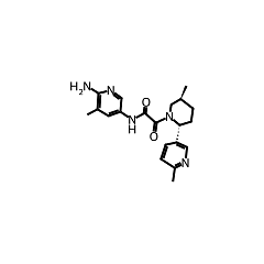 Cc1ccc([C@H]2CC[C@H](C)CN2C(=O)C(=O)Nc2cnc(N)c(C)c2)cn1